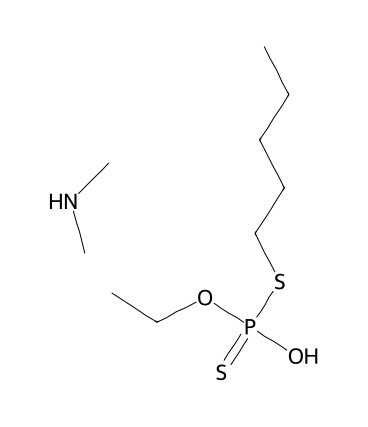 CCCCCSP(O)(=S)OCC.CNC